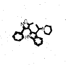 Cc1onc(-c2ccccc2)c1-c1[nH]c2ccccc2c1C(C)N1CCCCC1